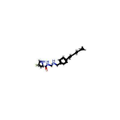 O=C(NCNCc1ccc(C#CC#CC2CC2)cc1)[C@@H]1C[C@H](F)CN1